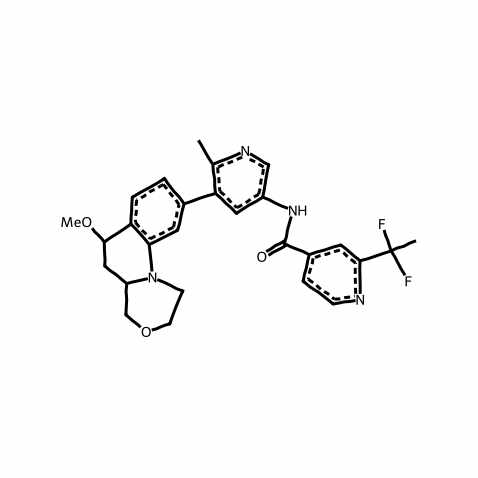 COC1CC2COCCN2c2cc(-c3cc(NC(=O)c4ccnc(C(C)(F)F)c4)cnc3C)ccc21